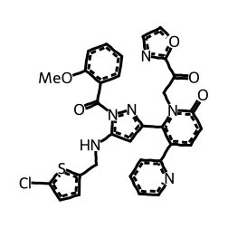 COc1ccccc1C(=O)n1nc(-c2c(-c3ccccn3)ccc(=O)n2CC(=O)c2ncco2)cc1NCc1ccc(Cl)s1